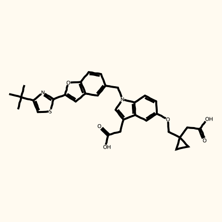 CC(C)(C)c1csc(-c2cc3cc(Cn4cc(CC(=O)O)c5cc(OCC6(CC(=O)O)CC6)ccc54)ccc3o2)n1